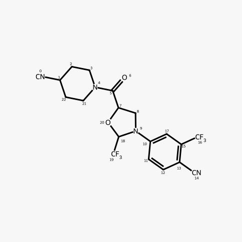 [C-]#[N+]C1CCN(C(=O)C2CN(c3ccc(C#N)c(C(F)(F)F)c3)C(C(F)(F)F)O2)CC1